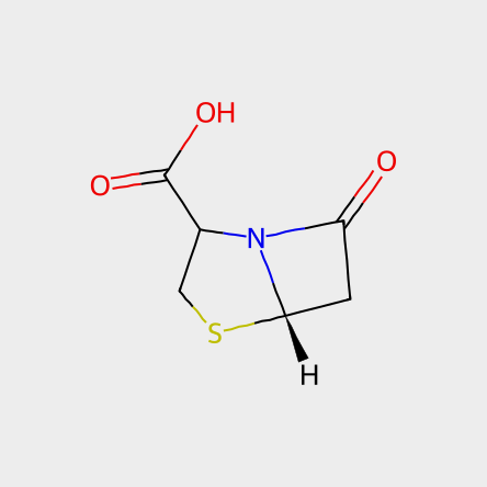 O=C(O)C1CS[C@H]2CC(=O)N12